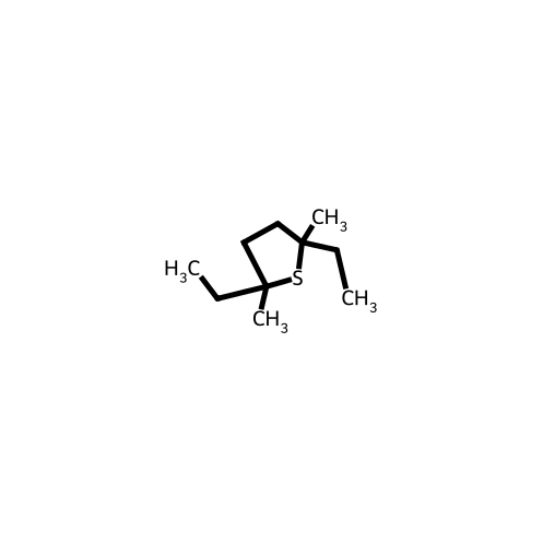 CCC1(C)CCC(C)(CC)S1